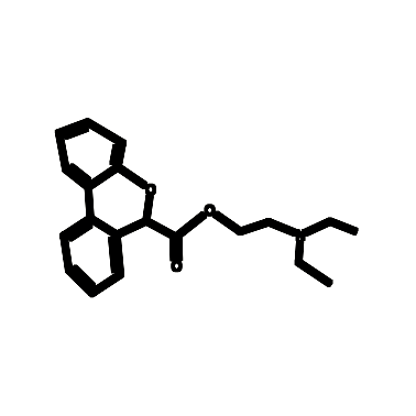 CCN(CC)CCOC(=O)C1Oc2ccccc2-c2ccccc21